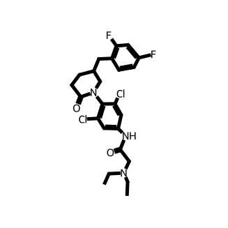 CCN(CC)CC(=O)Nc1cc(Cl)c(N2CC(Cc3ccc(F)cc3F)CCC2=O)c(Cl)c1